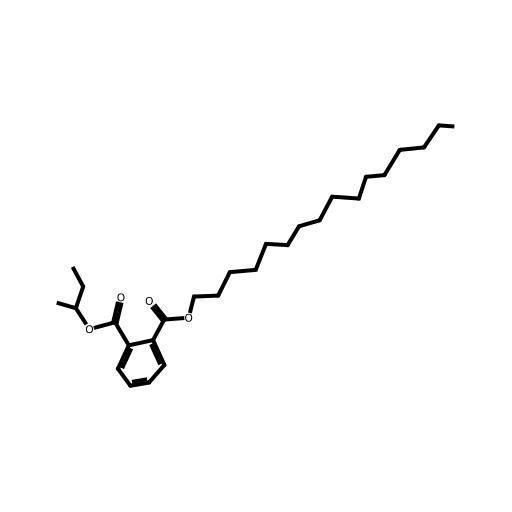 CCCCCCCCCCCCCCCCOC(=O)c1ccccc1C(=O)OC(C)CC